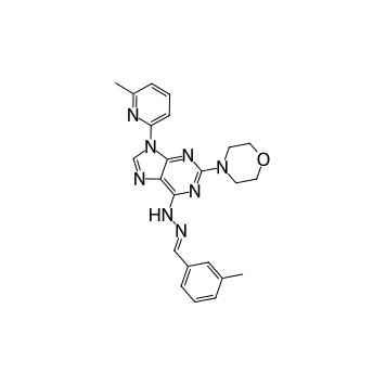 Cc1cccc(C=NNc2nc(N3CCOCC3)nc3c2ncn3-c2cccc(C)n2)c1